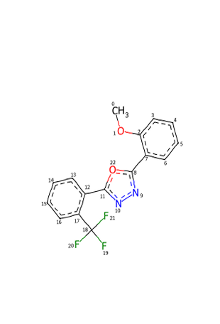 COc1ccccc1-c1nnc(-c2ccccc2C(F)(F)F)o1